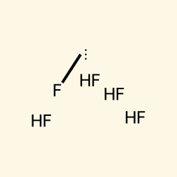 F.F.F.F.[C]F